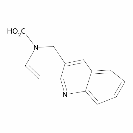 O=C(O)N1C=Cc2nc3ccccc3cc2C1